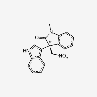 CN1C(=O)[C@@](C[N+](=O)[O-])(c2c[nH]c3ccccc23)c2ccccc21